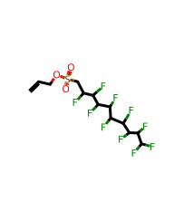 C=CCOS(=O)(=O)CC(F)C(F)C(F)C(F)C(F)C(F)C(F)C(F)C(F)F